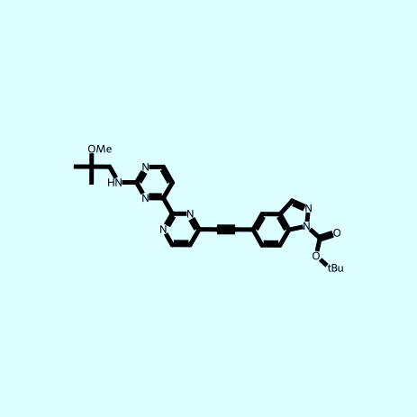 COC(C)(C)CNc1nccc(-c2nccc(C#Cc3ccc4c(cnn4C(=O)OC(C)(C)C)c3)n2)n1